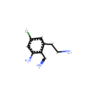 N=Cc1c(N)cc(Cl)cc1CCN